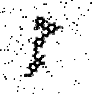 O=Cc1ccc2c(c1)[nH]c(=O)n2CCOc1ccc(COc2cc(F)ccc2Oc2cncnc2Cl)cc1